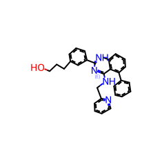 Cc1cccc(-c2ccccc2)c1/C(=N\C(=N)c1cccc(CCCO)c1)NCc1ccccn1